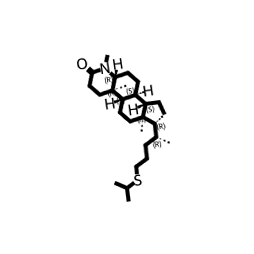 CC(C)SCCC[C@@H](C)[C@H]1CC[C@H]2[C@@H]3CC[C@H]4N(C)C(=O)CC[C@]4(C)[C@H]3CC[C@]12C